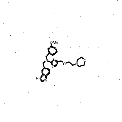 COc1cccc(CN(Cc2ccc3nc[nH]c3c2)c2nc(COCCN3CCOCC3)co2)c1